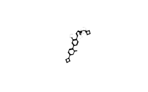 CC1CC(C2CCC2)=CC=C1c1ccc(-c2ccc(OC3CCC3)s2)c(F)c1